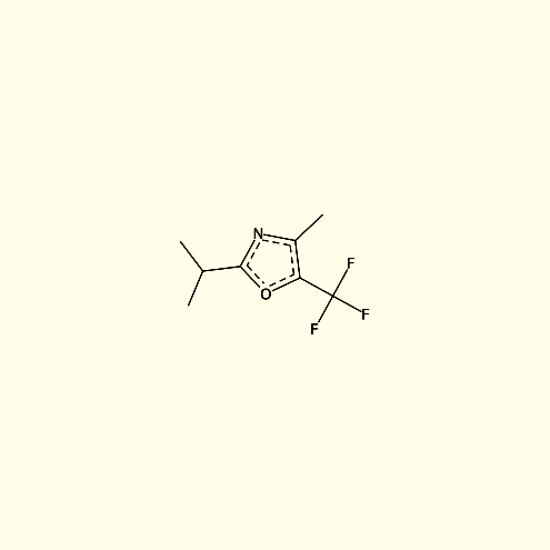 Cc1nc(C(C)C)oc1C(F)(F)F